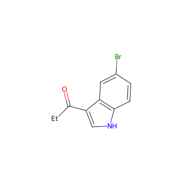 CCC(=O)c1c[nH]c2ccc(Br)cc12